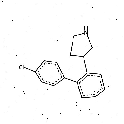 Clc1ccc(-c2ccccc2C2CCNC2)cc1